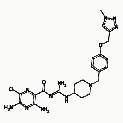 Cn1cc(COc2ccc(CN3CCC(N/C(N)=N/C(=O)c4nc(Cl)c(N)nc4N)CC3)cc2)nn1